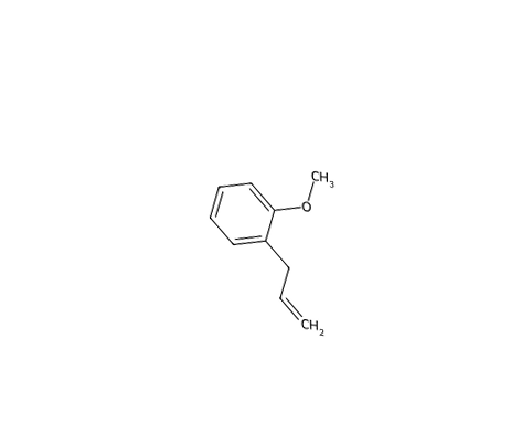 C=CCc1ccccc1OC